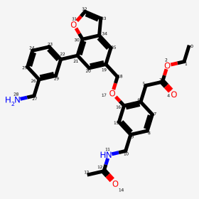 CCOC(=O)Cc1ccc(CNC(C)=O)cc1OCc1cc(-c2cccc(CN)c2)c2occc2c1